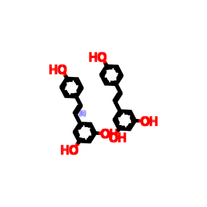 Oc1ccc(/C=C/c2cc(O)cc(O)c2)cc1.Oc1ccc(C=Cc2cc(O)cc(O)c2)cc1